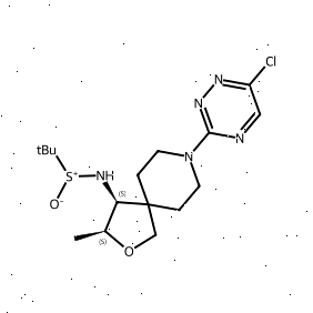 C[C@@H]1OCC2(CCN(c3ncc(Cl)nn3)CC2)[C@@H]1N[S+]([O-])C(C)(C)C